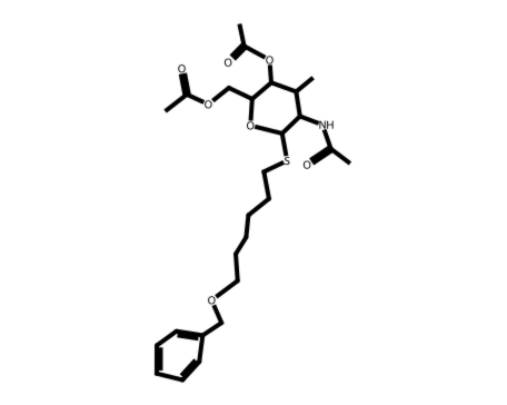 CC(=O)NC1C(SCCCCCCOCc2ccccc2)OC(COC(C)=O)C(OC(C)=O)C1C